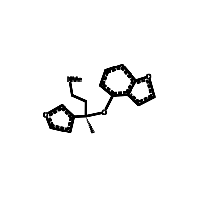 CNCC[C@@](C)(Oc1cccc2occc12)c1ccoc1